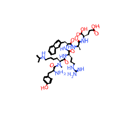 CC(C)NCCCC[C@@H](C(=O)N[C@H](CCCNC(=N)N)C(=O)N[C@@H](Cc1ccc2ccccc2c1)C(=O)N[C@H](C)C(=O)N[C@H](CCC(=O)O)C(=O)O)N(C)C(=O)[C@@H](N)Cc1ccc(O)cc1